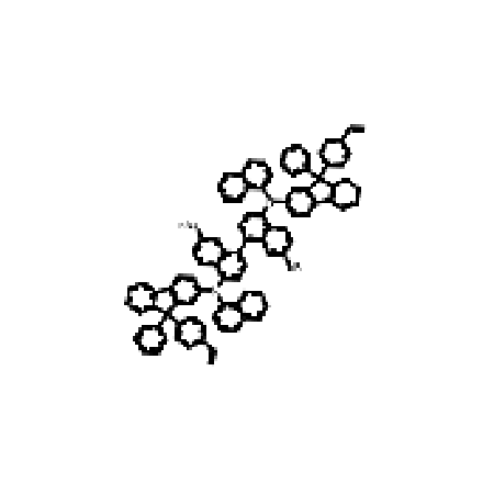 C=Cc1ccc(C2(c3ccccc3)C3=C(C=CCC3)c3ccc(N(c4cccc5ccccc45)c4ccc(-c5ccc(N(c6ccc7c(c6)C(c6ccccc6)(c6ccc(C=C)cc6)c6ccccc6-7)c6cccc7ccccc67)c6ccc(CCCC)cc56)c5cc(CCCC)ccc45)cc32)cc1